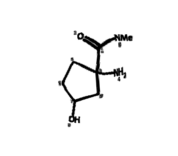 CNC(=O)C1(N)CCC(O)C1